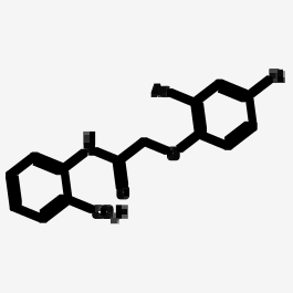 CCc1ccc(OCC(=O)Nc2ccccc2C(=O)O)c(C(C)=O)c1